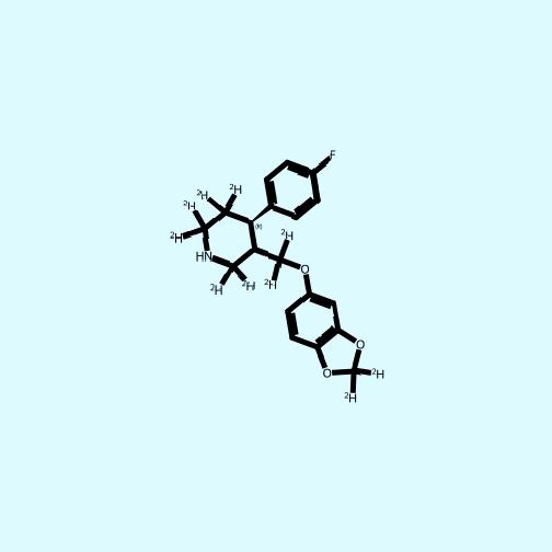 [2H]C1([2H])Oc2ccc(OC([2H])([2H])C3[C@H](c4ccc(F)cc4)C([2H])([2H])C([2H])([2H])NC3([2H])[2H])cc2O1